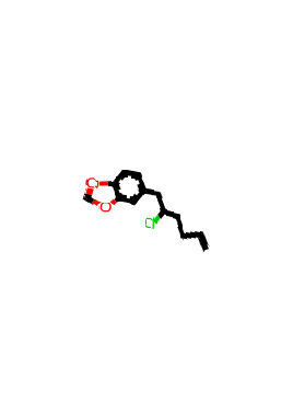 CCCCC(Cl)Cc1ccc2c(c1)OCO2